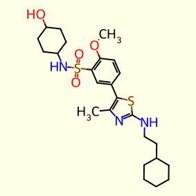 COc1ccc(-c2sc(NCCC3CCCCC3)nc2C)cc1S(=O)(=O)NC1CCC(O)CC1